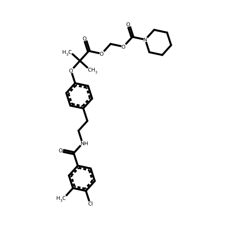 Cc1cc(C(=O)NCCc2ccc(OC(C)(C)C(=O)OCOC(=O)N3CCCCC3)cc2)ccc1Cl